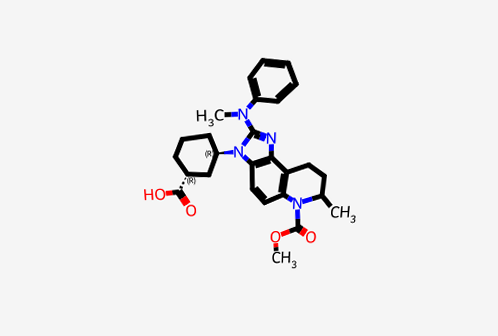 COC(=O)N1c2ccc3c(nc(N(C)c4ccccc4)n3[C@@H]3CCC[C@@H](C(=O)O)C3)c2CCC1C